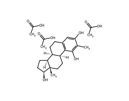 CC(=O)O.CC(=O)O.CC(=O)O.Cc1c(O)cc2c(c1O)[C@H]1CC[C@]3(C)[C@@H](O)CC[C@H]3[C@H]1CC2